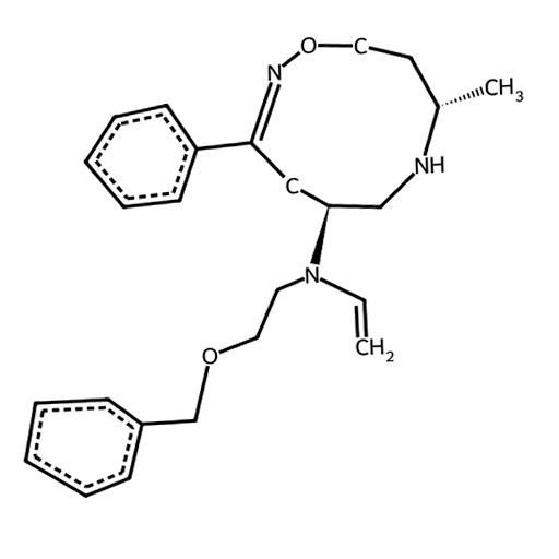 C=CN(CCOCc1ccccc1)[C@@H]1CN[C@@H](C)CCO/N=C(/c2ccccc2)C1